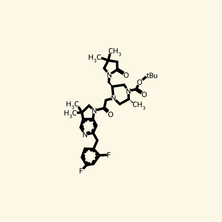 C[C@@H]1CN(CC(=O)N2CC(C)(C)c3cnc(Cc4ccc(F)cc4F)cc32)[C@@H](CN2CC(C)(C)CC2=O)CN1C(=O)OC(C)(C)C